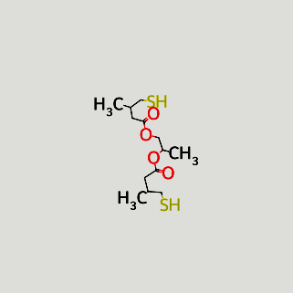 CC(CS)CC(=O)OCC(C)OC(=O)CC(C)CS